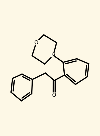 O=C(Cc1ccccc1)c1ccccc1N1CCOCC1